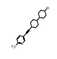 CCC1CCC(C2CCC(C#Cc3ccc(C(F)(F)F)nc3)CC2)CC1